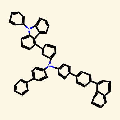 c1ccc(-c2ccc(N(c3ccc(-c4ccc(-c5cccc6ccccc56)cc4)cc3)c3cccc(-c4cccc5c4c4ccccc4n5-c4ccccc4)c3)cc2)cc1